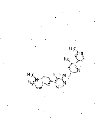 C=Nc1ccc(-c2ncnc(NCc3cnc(-c4ccnc(C)c4)c(C#N)c3)c2F)cc1/C=C\C